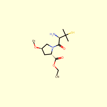 CCO[C@@H]1C[C@@H](C(=O)OCC#N)N(C(=O)[C@@H](N)C(C)(C)S)C1